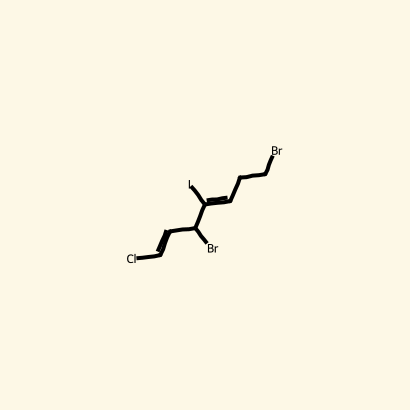 ClC=CC(Br)C(I)=CCCBr